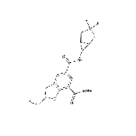 CNC(=O)c1cc(C(=O)NC2C3CC(F)(F)CC32)cc2c1OC(CF)C2